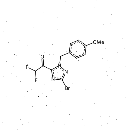 COc1ccc(Cn2nc(Br)nc2C(=O)C(F)F)cc1